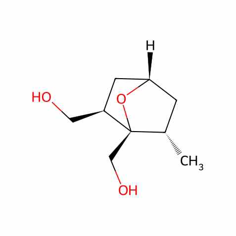 C[C@H]1C[C@H]2C[C@H](CO)[C@]1(CO)O2